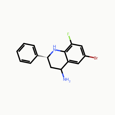 NC1C[C@H](c2ccccc2)Nc2c(F)cc(Br)cc21